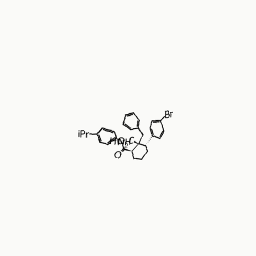 CC(C)c1ccc(NC(=O)[C@@H]2CCC[C@@H](c3ccc(Br)cc3)[C@]2(Cc2ccccc2)C(=O)O)cc1